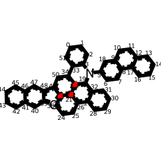 c1ccc(N(c2ccc3c(ccc4ccccc43)c2)c2cc3ccccc3c3ccccc23)c(-c2ccc3oc4cc5ccccc5cc4c3c2)c1